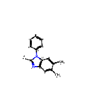 CCc1nc2cc(C)c(C)cc2n1-c1c[c]ccc1